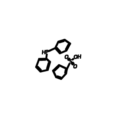 O=S(=O)(O)c1ccccc1.c1ccc(Pc2ccccc2)cc1